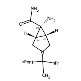 CCCCCC(C)(CCC)N1C[C@@H]2[C@H](C1)[C@@]2(N)C(N)=O